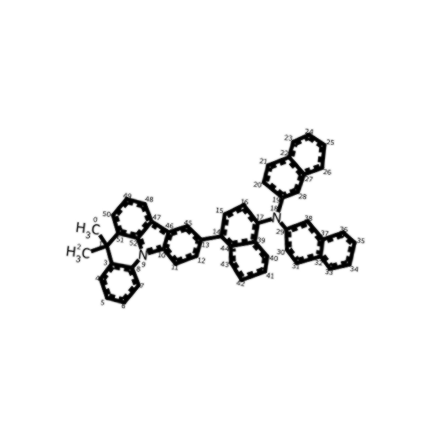 CC1(C)c2ccccc2-n2c3ccc(-c4ccc(N(c5ccc6ccccc6c5)c5ccc6ccccc6c5)c5ccccc45)cc3c3cccc1c32